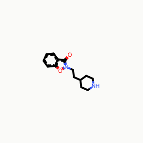 O=c1c2ccccc2on1CCC1CCNCC1